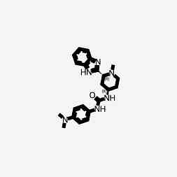 CN(C)c1ccc(NC(=O)N[C@@H]2CCN(C)[C@@H](c3nc4ccccc4[nH]3)C2)cc1